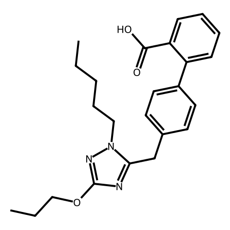 CCCCCn1nc(OCCC)nc1Cc1ccc(-c2ccccc2C(=O)O)cc1